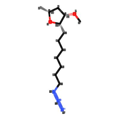 CO[C@H]1C[C@@H](C)O[C@H]1CCCCCCCN=[N+]=[N-]